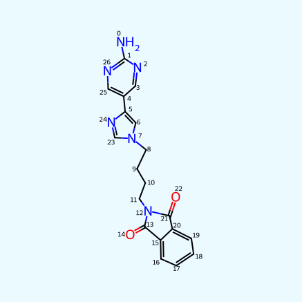 Nc1ncc(-c2cn(CCCCN3C(=O)c4ccccc4C3=O)cn2)cn1